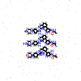 C=CC(=O)Nc1cncc(-c2cccc3cnc(Nc4ccc(N5CCN(C)CC5)cc4)nc23)c1.C=CC(=O)Nc1cncc(-c2cccc3cnc(Nc4ccc(N5CCNCC5)cc4)nc23)c1.C=CC(=O)Nc1cncc(-c2cccc3cnc(Nc4ccc(N5CCOCC5)cc4)nc23)c1